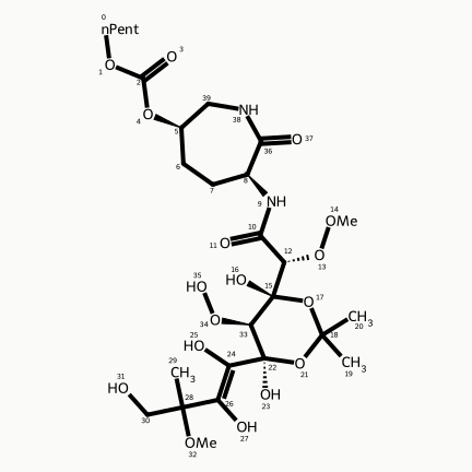 CCCCCOC(=O)O[C@@H]1CC[C@H](NC(=O)[C@H](OOC)[C@]2(O)OC(C)(C)O[C@@](O)(/C(O)=C(\O)C(C)(CO)OC)[C@H]2OO)C(=O)NC1